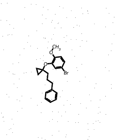 COc1ccc(Br)cc1OC1(CCCc2ccccc2)CC1